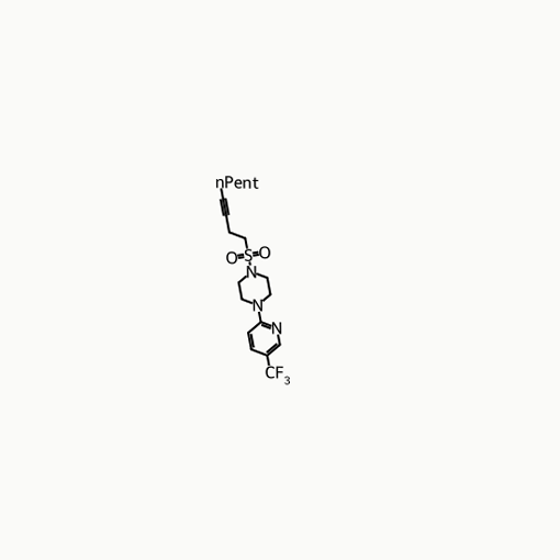 CCCCCC#CCCS(=O)(=O)N1CCN(c2ccc(C(F)(F)F)cn2)CC1